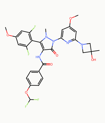 COc1cc(N2CC(C)(O)C2)nc(-n2c(=O)c(NC(=O)c3ccc(OC(F)F)cc3)c(-c3c(F)cc(OC)cc3F)n2C)c1